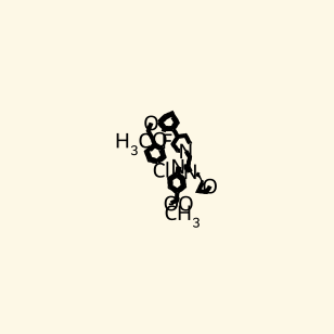 COC(=O)c1ccc2nc(CN3CCC(c4cccc5c4O[C@](C)(c4ccc(Cl)cc4F)CO5)CC3)n(C[C@@H]3CCO3)c2c1